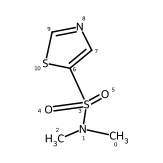 CN(C)S(=O)(=O)c1cncs1